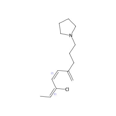 C=C(/C=C\C(Cl)=C/C)CCCN1CCCC1